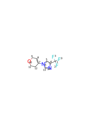 FC(F)(F)c1cn(C2=CCOCC2)cn1